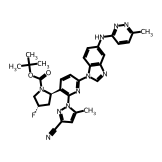 Cc1ccc(Nc2ccc3c(c2)ncn3-c2ccc([C@H]3C[C@H](F)CN3C(=O)OC(C)(C)C)c(-n3nc(C#N)cc3C)n2)nn1